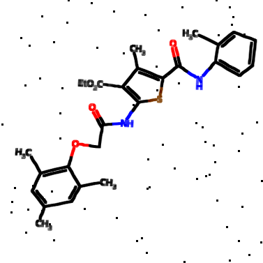 CCOC(=O)c1c(NC(=O)COc2c(C)cc(C)cc2C)sc(C(=O)Nc2ccccc2C)c1C